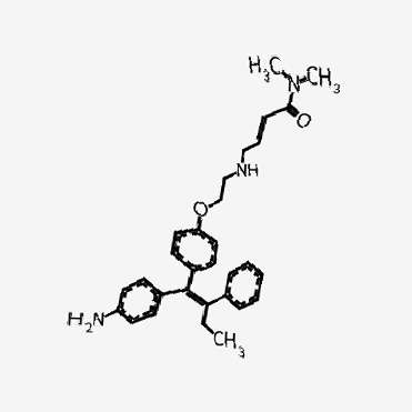 CC/C(=C(\c1ccc(N)cc1)c1ccc(OCCNC/C=C/C(=O)N(C)C)cc1)c1ccccc1